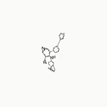 N#Cc1cncc(-c2cccc(-c3ccsc3)c2)c1Nc1ccc2[nH]ccc2c1